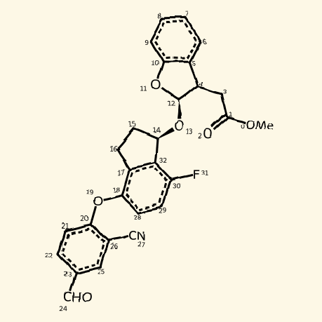 COC(=O)CC1c2ccccc2O[C@@H]1O[C@@H]1CCc2c(Oc3ccc(C=O)cc3C#N)ccc(F)c21